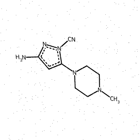 CN1CCN(c2cc(N)nn2C#N)CC1